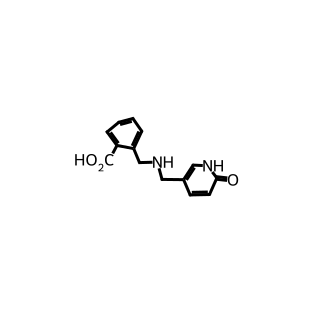 O=C(O)c1ccccc1CNCc1ccc(=O)[nH]c1